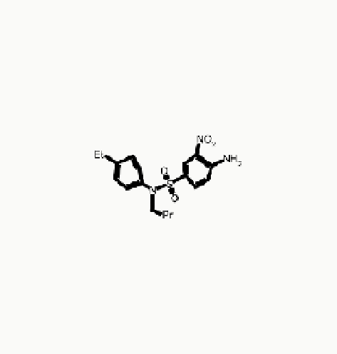 CCc1ccc(N(CC(C)C)S(=O)(=O)c2ccc(N)c([N+](=O)[O-])c2)cc1